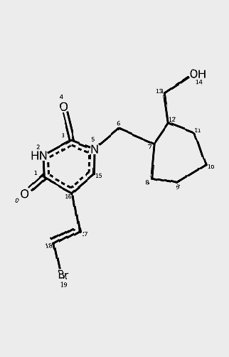 O=c1[nH]c(=O)n(CC2CCCCC2CO)cc1/C=C/Br